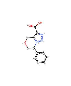 O=C(O)c1nnn2c1COCC2c1ccccc1